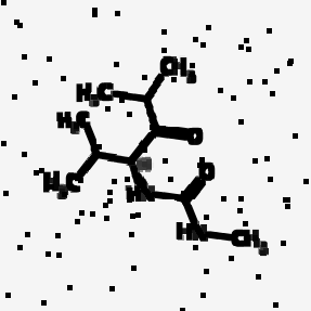 CNC(=O)N[C@H](C(=O)C(C)C)C(C)C